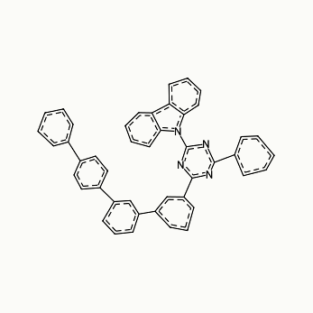 c1ccc(-c2ccc(-c3cccc(-c4cccc(-c5nc(-c6ccccc6)nc(-n6c7ccccc7c7ccccc76)n5)c4)c3)cc2)cc1